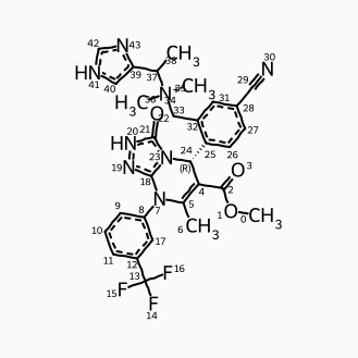 COC(=O)C1=C(C)N(c2cccc(C(F)(F)F)c2)c2n[nH]c(=O)n2[C@@H]1c1ccc(C#N)cc1C[N+](C)(C)C(C)c1c[nH]cn1